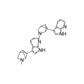 CN1CC2C=C(c3c[nH]c4nc(N5CC6C=C(c7c[nH]c8ncccc78)C5C6)ccc34)C1C2